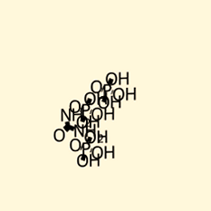 NC(N)=O.O=P(O)(O)O.O=P(O)(O)O.O=P(O)(O)O